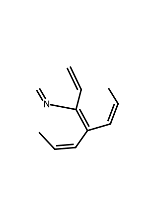 C=CC(N=C)=C(/C=C\C)/C=C\C